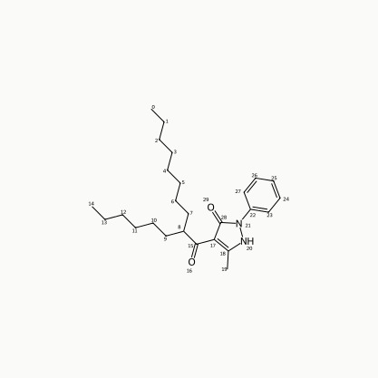 CCCCCCCCC(CCCCCC)C(=O)c1c(C)[nH]n(-c2ccccc2)c1=O